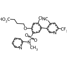 CN(c1ccccn1)S(=O)(=O)c1cc(-c2cnc(C(F)(F)F)cc2C#N)c(Cl)cc1OCCCC(=O)O